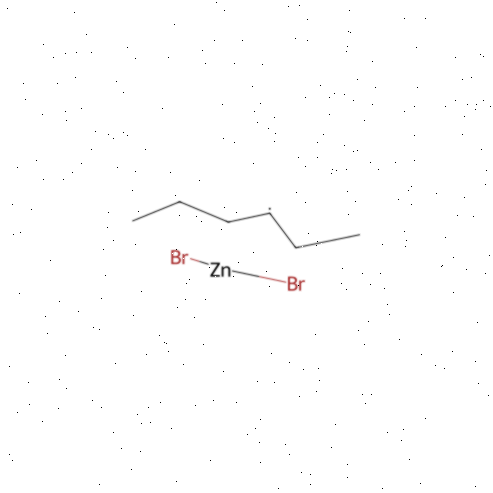 CC[CH]CCC.[Br][Zn][Br]